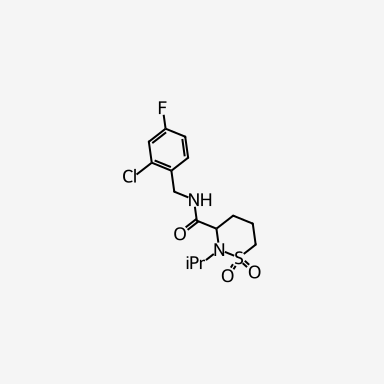 CC(C)N1C(C(=O)NCc2ccc(F)cc2Cl)CCCS1(=O)=O